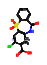 C=C(C(=O)O)/C(Cl)=C\C1=C(C)NC(=O)c2ccccc2S1(=O)=O